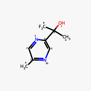 Cc1cnc(C(C)(O)C(F)(F)F)cn1